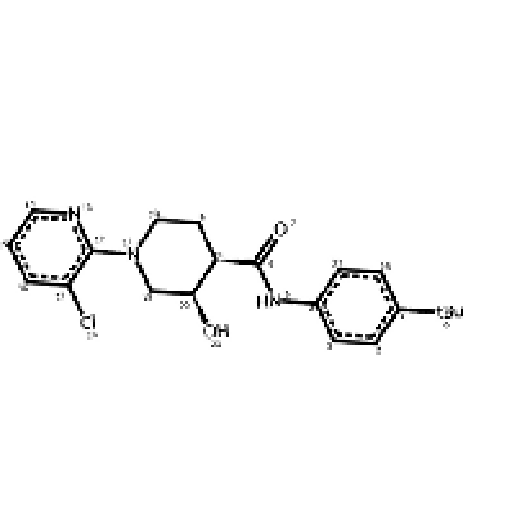 CC(C)(C)c1ccc(NC(=O)[C@@H]2CCN(c3ncccc3Cl)C[C@@H]2O)cc1